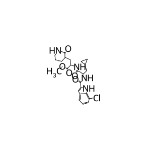 COC(=O)C(CC1CCCNC1=O)NC(=O)C(CC1CC1)NC(=O)c1cc2cccc(Cl)c2[nH]1